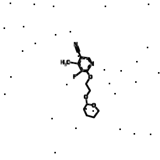 Cc1c(C#N)cnc(OCCOC2CCCCO2)c1F